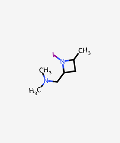 CC1CC(CN(C)C)N1I